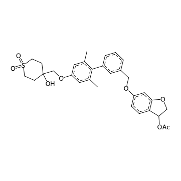 CC(=O)OC1COc2cc(OCc3cccc(-c4c(C)cc(OCC5(O)CCS(=O)(=O)CC5)cc4C)c3)ccc21